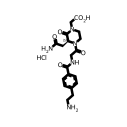 Cl.NCCc1ccc(C(=O)NCC(=O)N2CCN(CC(=O)O)C(=O)[C@@H]2CC(N)=O)cc1